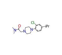 CC(C)c1ccc(N2CCN(CC(=O)N(C)C)CC2)c(Cl)c1